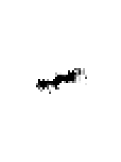 CNC(=O)c1c(C)oc2cc(Oc3ccnc4cc(OCCCN5CC(=O)C6(CC6)C5)c(OC)cc34)ccc12